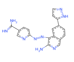 N=C(N)c1ccc(/N=N/c2c(N)ncc3ccc(-c4ccn[nH]4)cc23)nc1